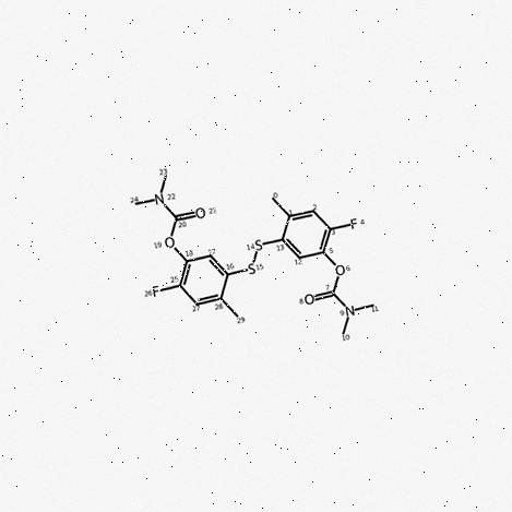 Cc1cc(F)c(OC(=O)N(C)C)cc1SSc1cc(OC(=O)N(C)C)c(F)cc1C